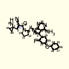 CNC1(/C=C(\C#N)C(=O)N2CCC[C@@H]2Cn2nc(-c3ccc(Oc4ccccc4)cc3F)c3c(N)ncnc32)CC1